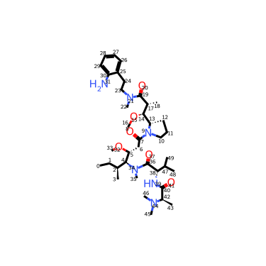 CC[C@H](C)[C@@H]([C@@H](CC(=O)N1CCC[C@H]1[C@H](OC)[C@@H](C)C(=O)N(C)CCc1ccccc1N)OC)N(C)C(=O)[C@@H](NC(=O)[C@@H](C)N(C)C)C(C)C